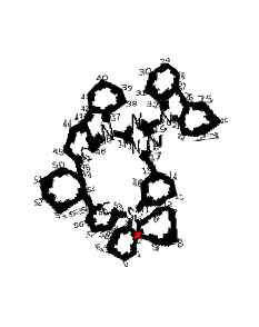 c1ccc([Si]2(c3ccccc3)c3cccc(c3)-c3nc(-n4c5ccccc5c5ccccc54)nc(n3)-n3c4ccccc4c4ccc(cc43)-c3ccccc3-c3cccc2c3)cc1